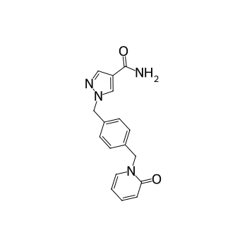 NC(=O)c1cnn(Cc2ccc(Cn3ccccc3=O)cc2)c1